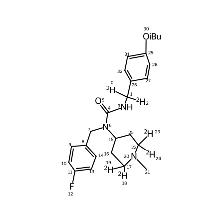 [2H]C([2H])(NC(=O)N(Cc1ccc(F)cc1)C1CC([2H])([2H])N(C)C([2H])([2H])C1)c1ccc(OCC(C)C)cc1